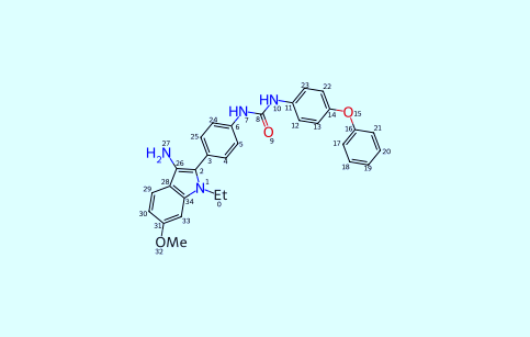 CCn1c(-c2ccc(NC(=O)Nc3ccc(Oc4ccccc4)cc3)cc2)c(N)c2ccc(OC)cc21